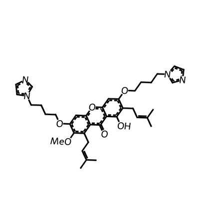 COc1c(OCCCCn2ccnc2)cc2oc3cc(OCCCCn4ccnc4)c(CC=C(C)C)c(O)c3c(=O)c2c1CC=C(C)C